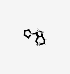 C1CCN(c2onc3c2CNCC3)C1